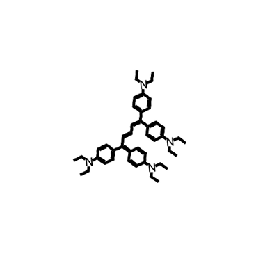 CCN(CC)c1ccc(C(=CC=CC(=C2C=CC(N(CC)CC)C=C2)c2ccc(N(CC)CC)cc2)c2ccc(N(CC)CC)cc2)cc1